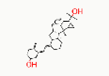 C=C=CC1CC2/C(=C/C=C3/C[C@@H](O)CCC3=C)CCC[C@]2(C)[C@H]1[C@](C)(CCCC(C)(C)O)C1CC1